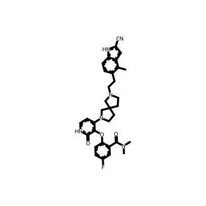 Cc1c(CCN2CCC3(CCN(c4cc[nH]c(=O)c4Oc4ccc(F)cc4C(=O)N(C)C)C3)C2)ccc2[nH]c(C#N)cc12